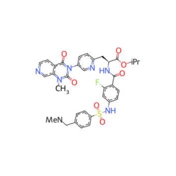 CNCc1ccc(S(=O)(=O)Nc2ccc(C(=O)N[C@@H](Cc3ccc(-n4c(=O)c5ccncc5n(C)c4=O)cn3)C(=O)OC(C)C)c(F)c2)cc1